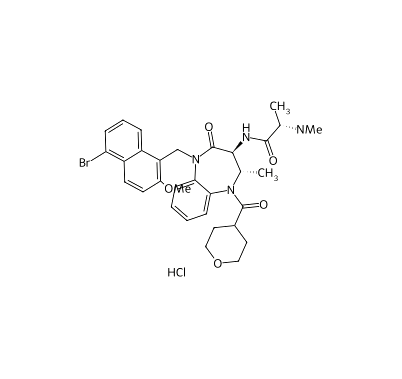 CN[C@@H](C)C(=O)N[C@@H]1C(=O)N(Cc2c(OC)ccc3c(Br)cccc23)c2ccccc2N(C(=O)C2CCOCC2)[C@H]1C.Cl